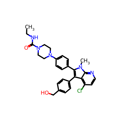 CCNC(=O)N1CCN(c2ccc(-c3c(-c4ccc(CO)cc4)c4c(Cl)ccnc4n3C)cc2)CC1